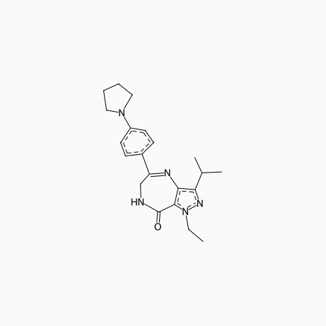 CCn1nc(C(C)C)c2c1C(=O)NCC(c1ccc(N3CCCC3)cc1)=N2